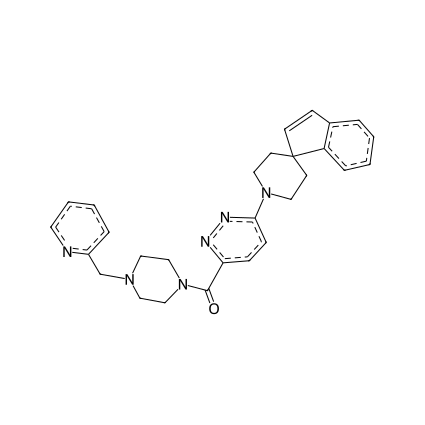 O=C(c1ccc(N2CCC3(C=Cc4ccccc43)CC2)nn1)N1CCN(Cc2ccccn2)CC1